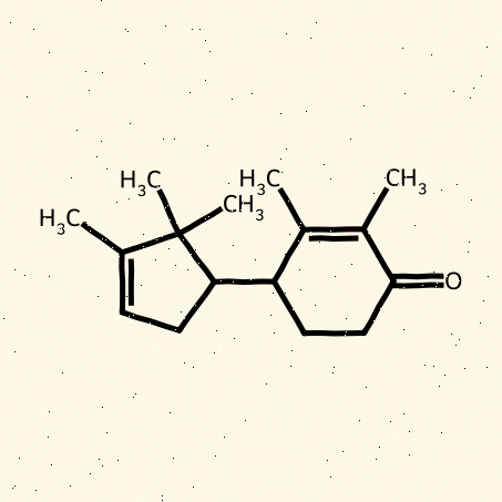 CC1=CCC(C2CCC(=O)C(C)=C2C)C1(C)C